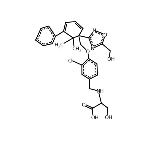 CC1(C)C(c2ccccc2)=CC=CC1(COc1ccc(CNC(CO)C(=O)O)cc1Cl)c1noc(CO)n1